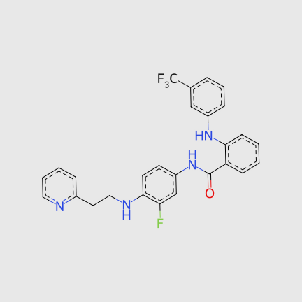 O=C(Nc1ccc(NCCc2ccccn2)c(F)c1)c1ccccc1Nc1cccc(C(F)(F)F)c1